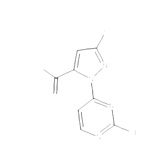 Cc1cc(C(=O)O)n(-c2ccnc(Cl)n2)n1